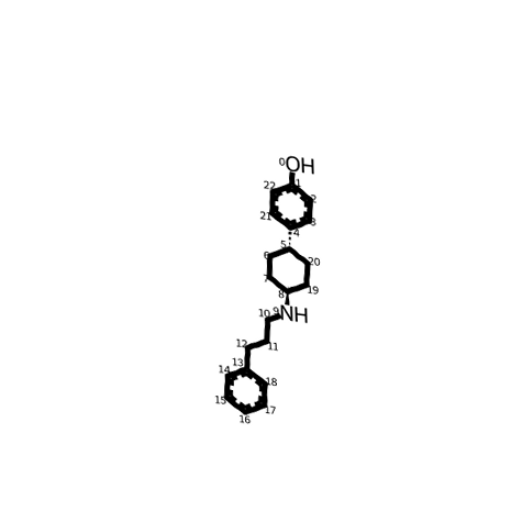 Oc1ccc([C@H]2CC[C@H](NCCCc3ccccc3)CC2)cc1